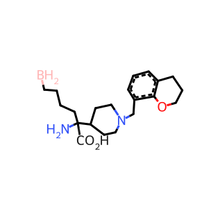 BCCCCC(N)(C(=O)O)C1CCN(Cc2cccc3c2OCCC3)CC1